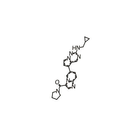 O=C(c1cnc2ccc(-c3ccn4nc(NCC5CC5)ncc34)cn12)N1CCCC1